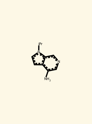 CC(C)n1ccc2c(N)cncc21